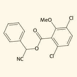 COc1c(Cl)ccc(Cl)c1C(=O)OC(C#N)c1ccccc1